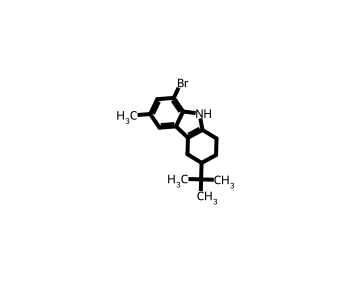 Cc1cc(Br)c2[nH]c3c(c2c1)CC(C(C)(C)C)CC3